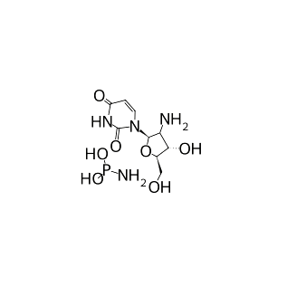 NC1[C@H](n2ccc(=O)[nH]c2=O)O[C@H](CO)[C@H]1O.NP(O)O